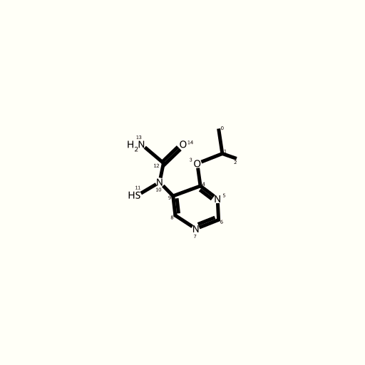 CC(C)Oc1ncncc1N(S)C(N)=O